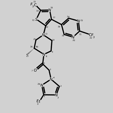 CCc1ncn(CC(=O)N2CCN(c3sc(C(F)(F)F)nc3-c3cnc(C(F)(F)F)nc3)C[C@H]2C)n1